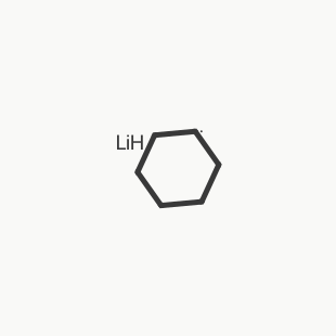 [CH]1CCCCC1.[LiH]